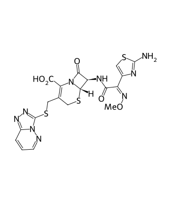 CO/N=C(\C(=O)N[C@@H]1C(=O)N2C(C(=O)O)=C(CSc3nnc4cccnn34)CS[C@@H]12)c1csc(N)n1